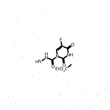 CCCNC(=O)n1cc(F)c(=O)[nH]c1=O.CCOC(C)=O